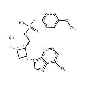 COc1ccc(OP(=O)(O)OC[C@@H]2[C@@H](CO)C[C@H]2n2cnc3c(N)ncnc32)cc1